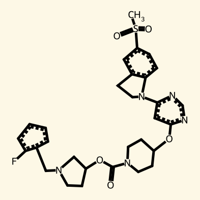 CS(=O)(=O)c1ccc2c(c1)CCN2c1cc(OC2CCN(C(=O)OC3CCN(Cc4ccccc4F)C3)CC2)ncn1